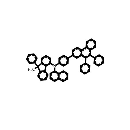 CC1(c2ccccc2)c2ccccc2-c2c(N(c3ccc(-c4ccc5c(c4)c(-c4ccccc4)c(-c4ccccc4)c4ccccc45)cc3)c3cccc4ccccc34)cccc21